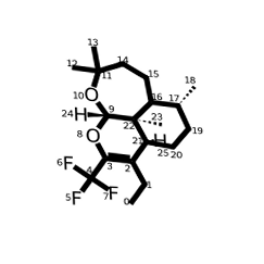 CCC1=C(C(F)(F)F)O[C@@H]2OC(C)(C)CCC3[C@H](C)CC[C@@H]1[C@]32C